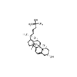 C[C@H](CCCC(C)(C)O)C1CC[C@H]2C3=CC=C4C[C@@H](O)CC[C@]4(C)[C@@]3(C)CC[C@]12C